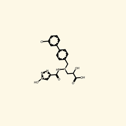 O=C(NN(Cc1ccc(-c2cccc(Cl)c2)cc1)CC(O)C(=O)O)c1cn(O)nn1